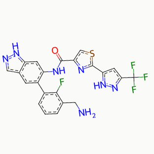 NCc1cccc(-c2cc3cn[nH]c3cc2NC(=O)c2csc(-c3cc(C(F)(F)F)n[nH]3)n2)c1F